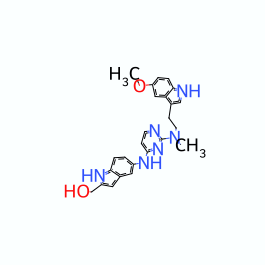 COc1ccc2[nH]cc(CCN(C)c3nccc(Nc4ccc5[nH]c(CO)cc5c4)n3)c2c1